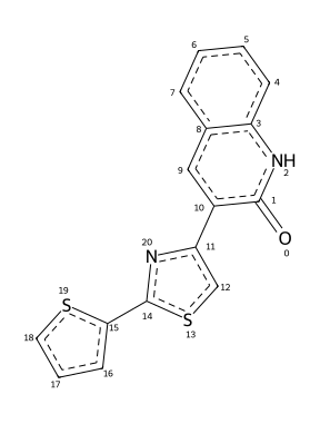 O=c1[nH]c2ccccc2cc1-c1csc(-c2cccs2)n1